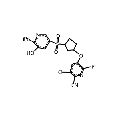 CC(C)c1ncc(S(=O)(=O)C2CCC(Oc3cc(Cl)c(C#N)nc3C(C)C)C2)cc1O